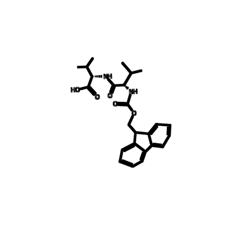 CC(C)[C@H](NC(=O)[C@@H](NC(=O)OCC1c2ccccc2-c2ccccc21)C(C)C)C(=O)O